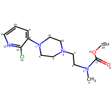 CN(CCN1CCN(c2cccnc2Cl)CC1)C(=O)OC(C)(C)C